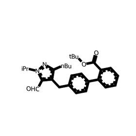 CCCCc1nn(C(C)C)c(C=O)c1Cc1ccc(-c2ccccc2C(=O)OC(C)(C)C)cc1